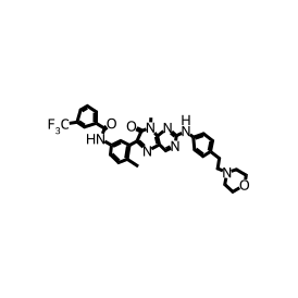 Cc1ccc(NC(=O)c2cccc(C(F)(F)F)c2)cc1-c1nc2cnc(Nc3ccc(CCN4CCOCC4)cc3)nc2n(C)c1=O